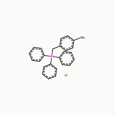 CC(C)(C)c1ccc(C[P+](c2ccccc2)(c2ccccc2)c2ccccc2)cc1.[Br-]